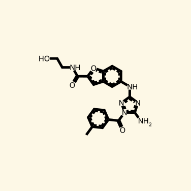 Cc1cccc(C(=O)n2nc(Nc3ccc4oc(C(=O)NCCO)cc4c3)nc2N)c1